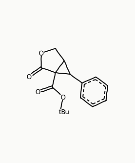 CC(C)(C)OC(=O)C12C(=O)OCC1C2c1ccccc1